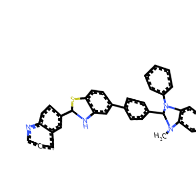 CN1c2ccccc2N(c2ccccc2)C1c1ccc(-c2ccc3c(c2)NC(c2ccc4ncccc4c2)S3)cc1